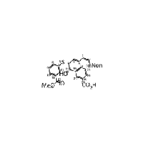 CCCCCCCCC/C=C\C=C\[C@@H](Sc1cccc(C(=O)OC)c1)[C@@H](O)c1cccc(C(=O)O)c1